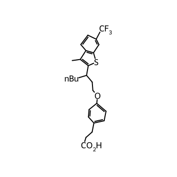 CCCCC(CCOc1ccc(CCC(=O)O)cc1)c1sc2cc(C(F)(F)F)ccc2c1C